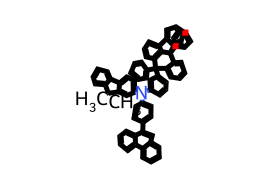 CC1(C)c2ccccc2-c2ccc(N(c3ccc(-c4cc5ccccc5c5ccccc45)cc3)c3cccc(C4(c5ccccc5)c5ccccc5C5(c6ccccc6)c6ccccc6-c6cccc4c65)c3)cc21